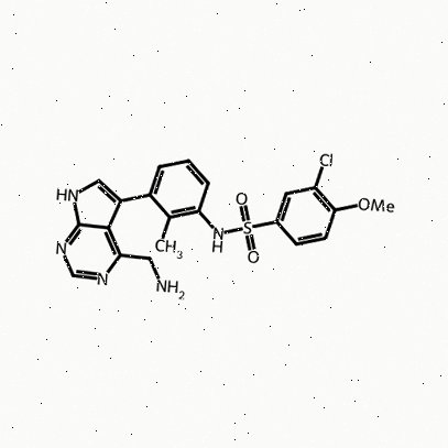 COc1ccc(S(=O)(=O)Nc2cccc(-c3c[nH]c4ncnc(CN)c34)c2C)cc1Cl